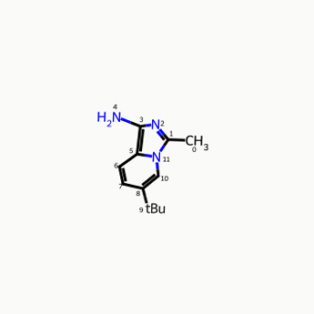 Cc1nc(N)c2ccc(C(C)(C)C)cn12